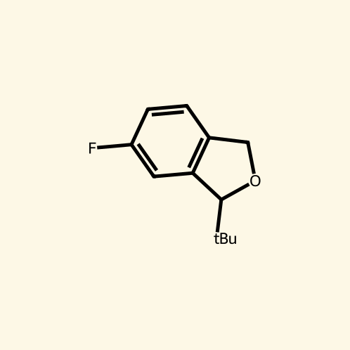 CC(C)(C)C1OCc2ccc(F)cc21